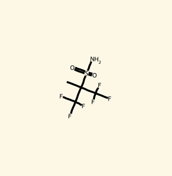 CC(C(F)(F)F)(C(F)(F)F)S(N)(=O)=O